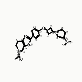 CC(=O)N1CCc2nc(-c3ccc(OC4CC(N5CC[C@@H](N(C)C)C5)C4)cc3)sc2C1